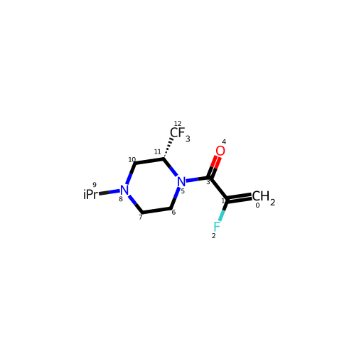 C=C(F)C(=O)N1CCN(C(C)C)C[C@@H]1C(F)(F)F